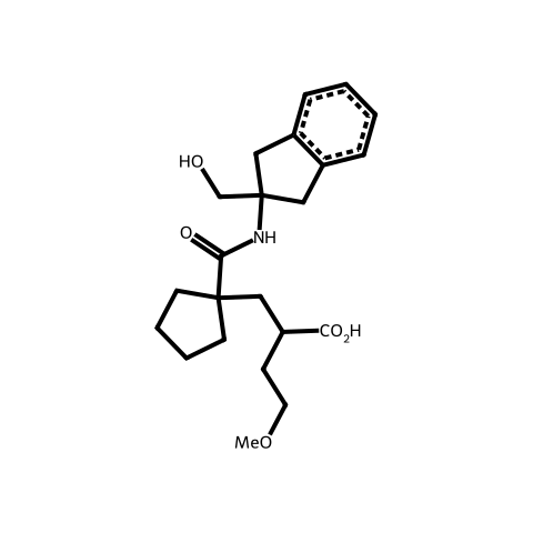 COCCC(CC1(C(=O)NC2(CO)Cc3ccccc3C2)CCCC1)C(=O)O